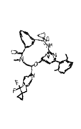 Cc1cccc(C)c1-c1cc2nc(n1)NS(=O)(=O)c1cccc(c1)C(=O)N(C)CC(c1ccc(CC3(C(F)(F)F)CC3)cn1)O2